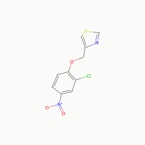 O=[N+]([O-])c1ccc(OCc2cscn2)c(Cl)c1